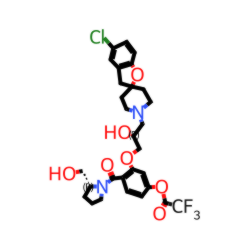 O=C(c1ccc(OC(=O)C(F)(F)F)cc1OC[C@H](O)CN1CCC2(CC1)Cc1cc(Cl)ccc1O2)N1CCC[C@@H]1CO